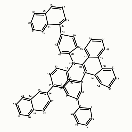 c1ccc(-c2cccc(-c3c(N(c4ccc(-c5ccc6ccccc6c5)cc4)c4ccc(-c5cccc6ccccc56)cc4)c4ccccc4c4ccccc34)c2)cc1